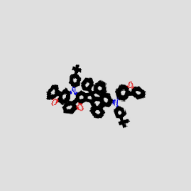 CC(C)(C)c1ccc(N(c2ccc3oc4ccccc4c3c2)c2ccc3c4c(c5ccccc5c3c2)-c2c(cc(N(c3ccc(C(C)(C)C)cc3)c3ccc5oc6ccccc6c5c3)c3c2oc2ccccc23)C4(c2ccccc2)c2ccccc2)cc1